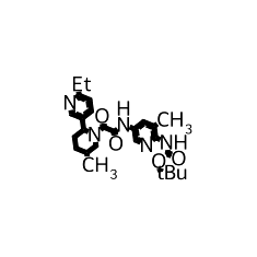 CCc1ccc(C2CCC(C)CN2C(=O)C(=O)Nc2cnc(NC(=O)OC(C)(C)C)c(C)c2)cn1